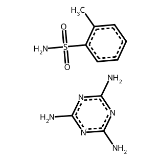 Cc1ccccc1S(N)(=O)=O.Nc1nc(N)nc(N)n1